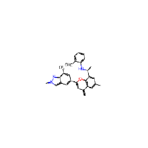 C=C1C=C(c2cc(C(F)(F)F)c3nn(C)cc3c2)Oc2c1cc(C)cc2C(C)Nc1ccccc1C=O